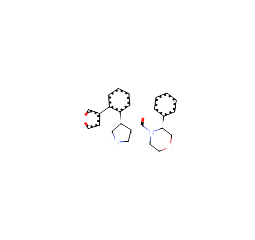 O=C([C@@H]1CNC[C@H]1c1ccccc1-c1ccoc1)N1CCOC[C@@H]1c1ccccc1